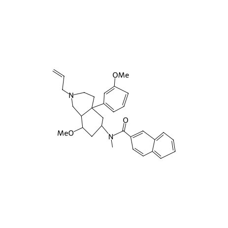 C=CCN1CCC2(c3cccc(OC)c3)CC(N(C)C(=O)c3ccc4ccccc4c3)CC(OC)C2C1